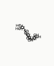 O=C(/C=C/c1ccc(O)c(O)c1)Oc1ccc(C/C(=C\c2ccc(O)c(O)c2)C(=O)O)cc1